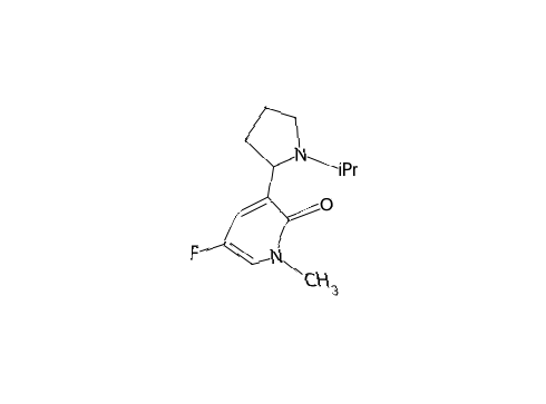 CC(C)N1CCCC1c1cc(F)cn(C)c1=O